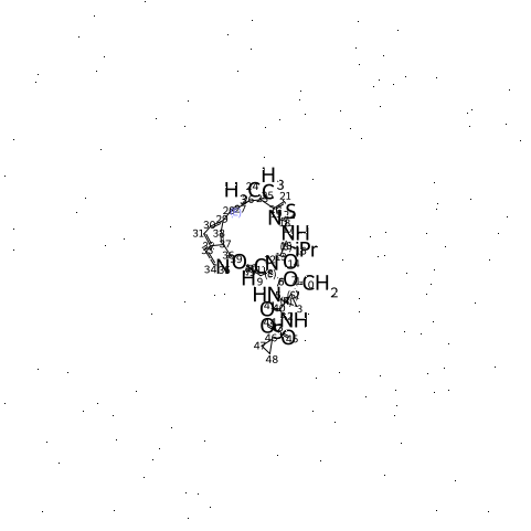 C=C[C@@H]1C[C@]1(NC(=O)[C@@H]1C[C@@H]2CN1C(=O)[C@H](C(C)C)Nc1nc(cs1)C(C)(C)C/C=C/c1ccc3ccnc(c3c1)O2)C(=O)NS(=O)(=O)C1CC1